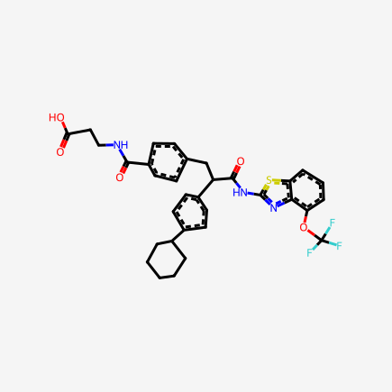 O=C(O)CCNC(=O)c1ccc(CC(C(=O)Nc2nc3c(OC(F)(F)F)cccc3s2)c2ccc(C3CCCCC3)cc2)cc1